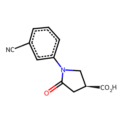 N#Cc1cccc(N2C[C@@H](C(=O)O)CC2=O)c1